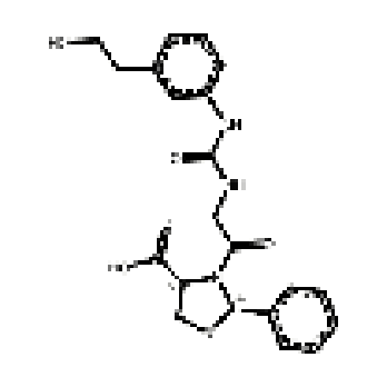 O=C(NCC(=O)N1[C@@H](c2ccccc2)SC[C@H]1C(=O)O)Nc1cccc(CCO)c1